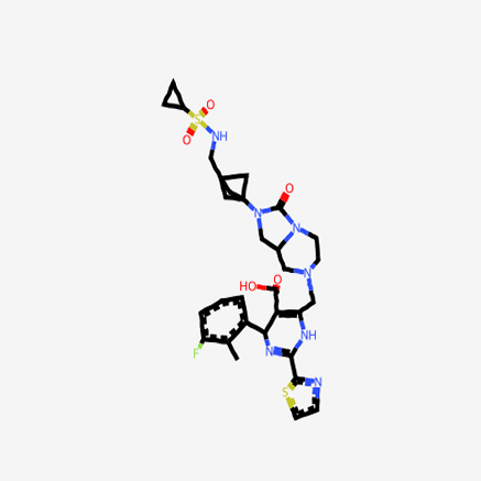 Cc1c(F)cccc1C1N=C(c2nccs2)NC(CN2CCN3C(=O)N(C45CC(CNS(=O)(=O)C6CC6)(C4)C5)CC3C2)=C1C(=O)O